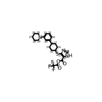 O=C(OC(=O)C(F)(F)F)c1[nH]nnc1SC1CCC(c2cccc(N3CCCCC3)c2)CC1